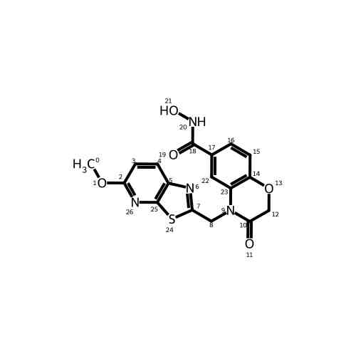 COc1ccc2nc(CN3C(=O)COc4ccc(C(=O)NO)cc43)sc2n1